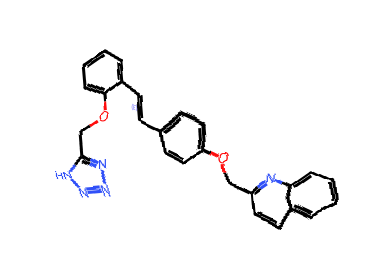 C(=C\c1ccccc1OCc1nnn[nH]1)/c1ccc(OCc2ccc3ccccc3n2)cc1